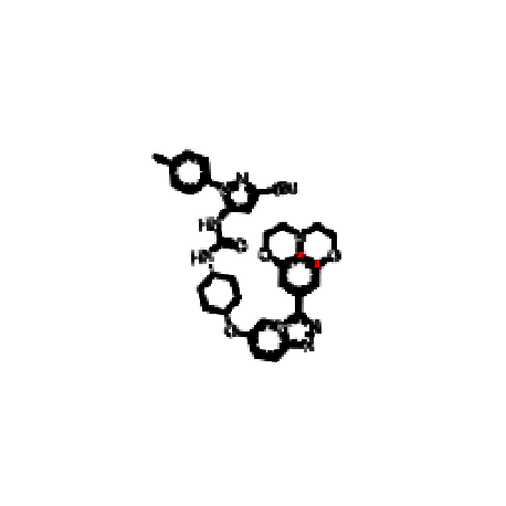 Cc1ccc(-n2nc(C(C)(C)C)cc2NC(=O)N[C@H]2CC[C@H](Oc3ccc4nnc(-c5cccc(OCCN6CCOCC6)c5)n4c3)CC2)cc1